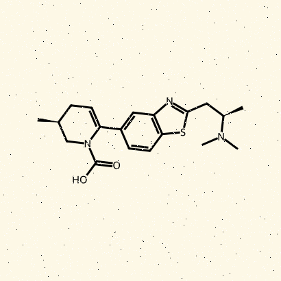 C[C@H]1CC=C(c2ccc3sc(C[C@@H](C)N(C)C)nc3c2)N(C(=O)O)C1